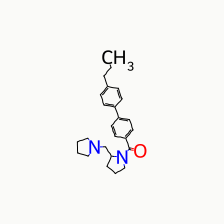 CCCc1ccc(-c2ccc(C(=O)N3CCCC3CN3CCCC3)cc2)cc1